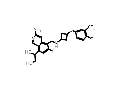 Nc1cc2c(CNC3CC(Oc4ccc(F)c(C(F)(F)F)c4)C3)c(F)cc(C(O)CO)c2cn1